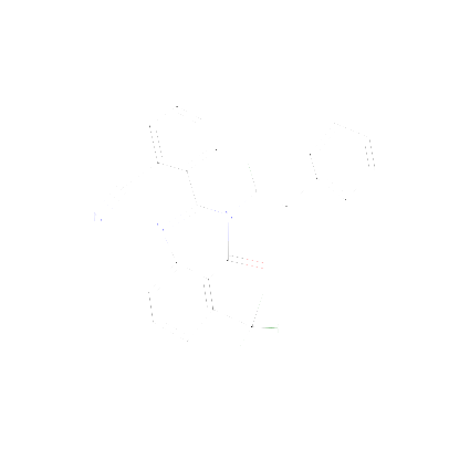 N#Cc1ccccc1-c1nc2cccc(C(F)(F)F)c2c(=O)n1C(F)Cc1ccccc1